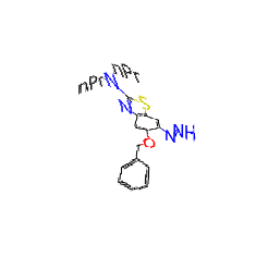 CCCN(CCC)c1nc2cc(OCc3ccccc3)c(N=N)cc2s1